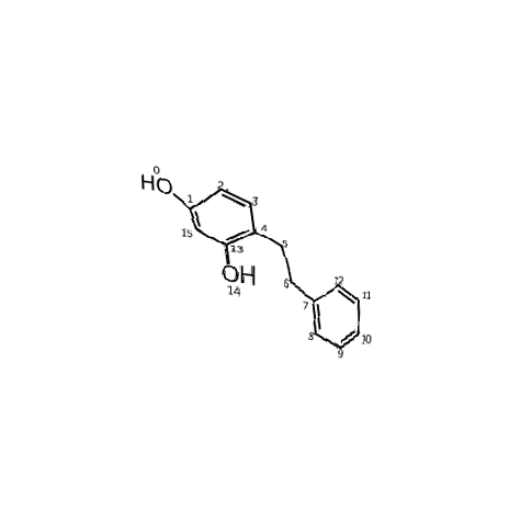 Oc1[c]cc(CCc2ccccc2)c(O)c1